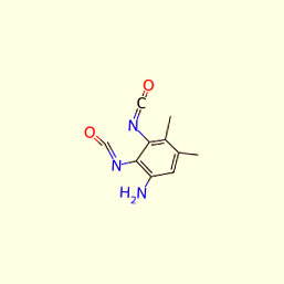 Cc1cc(N)c(N=C=O)c(N=C=O)c1C